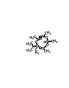 CN(C)[Si]1(C)O[SiH](C)O[SiH](C)O[SiH](C)O[SiH](C)O1